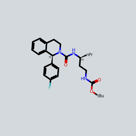 CCC[C@@H](CCNC(=O)OC(C)(C)C)NC(=O)N1CCc2ccccc2[C@@H]1c1ccc(F)cc1